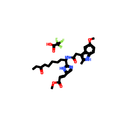 CCC(=O)CCCCCC(NC(=O)Cc1c(C)[nH]c2ccc(OC)cc12)c1ncc(C=CC(=O)OC)[nH]1.O=C(O)C(F)(F)F